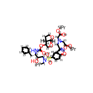 CC(C)CN(C[C@@H](O)[C@H](Cc1ccccc1)NC(=O)OC1CO[C@H]2OCC[C@@H]12)S(=O)(=O)c1ccc2onc(CN(CC(=O)OC(C)C)CC(=O)OC(C)C)c2c1